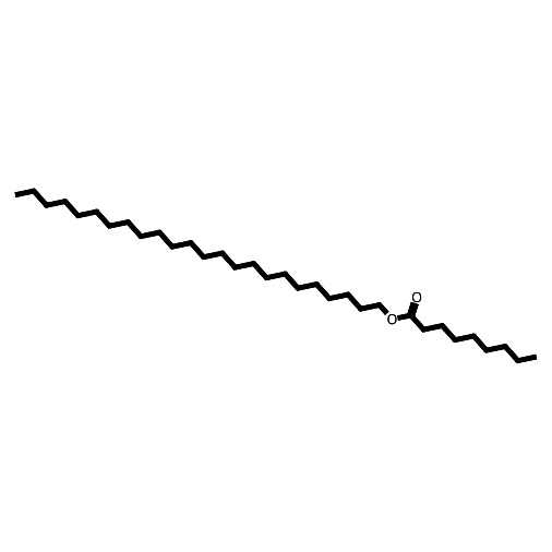 CCCCCCCCCCCCCCCCCCCCCCCCOC(=O)CCCCCCCC